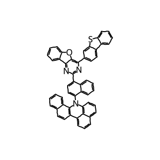 c1ccc2c3c(ccc2c1)-c1cccc2cccc(c12)N3c1ccc(-c2nc(-c3ccc4c(c3)sc3ccccc34)c3oc4ccccc4c3n2)c2ccccc12